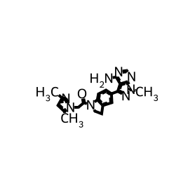 Cc1cc(C)n(CC(=O)N2CCc3cc(-c4nn(C)c5ncnc(N)c45)ccc32)n1